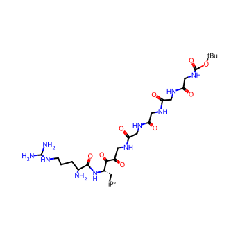 CC(C)C[C@H](NC(=O)[C@@H](N)CCCNC(N)N)C(=O)C(=O)CNC(=O)CNC(=O)CNC(=O)CNC(=O)CNC(=O)OC(C)(C)C